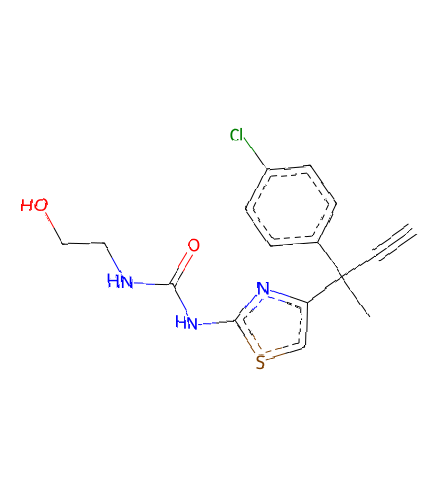 C#CC(C)(c1ccc(Cl)cc1)c1csc(NC(=O)NCCO)n1